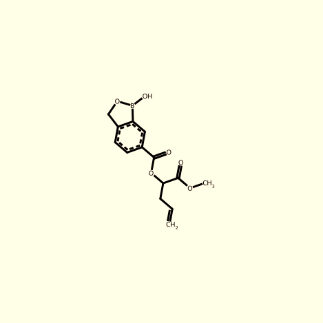 C=CCC(OC(=O)c1ccc2c(c1)B(O)OC2)C(=O)OC